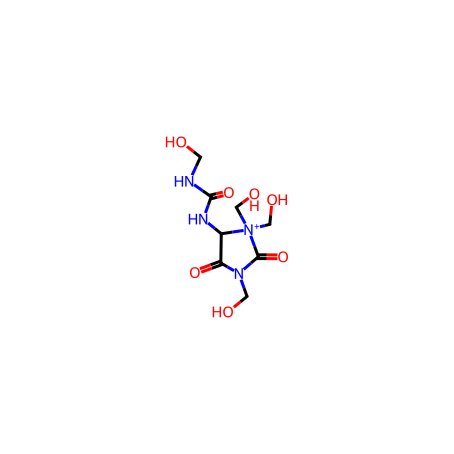 O=C(NCO)NC1C(=O)N(CO)C(=O)[N+]1(CO)CO